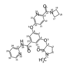 CN1CCC(Oc2cc(Oc3ccc(C(=O)N4CCC4)nc3)cc(C(=O)Nc3ccccn3)c2)C1=O